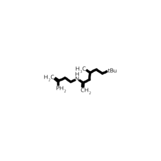 C=C(P)CCNC(=C)CC(C)CCC(C)(C)C